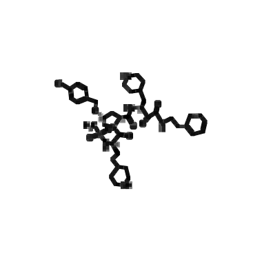 CS(=O)(=O)N[C@H](CCC1CCNCC1)C(=O)N1C[C@H](OCc2ccc(Cl)cc2)C[C@H]1C(=O)N[C@@H](CC1CCNCC1)C(=O)C(=O)NCCc1ccccc1